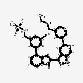 CCNCc1cncc(-c2cc3c(-c4cc5c(-c6cc(F)cc(CNS(C)(=O)=O)c6)cccc5[nH]4)n[nH]c3cn2)c1